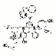 C#C/C=C\C/C=C(\C)C1=CC2=C(CC1C)B1c3ccccc3N(/C3=C/C(C)CC(C)=C=CC3)C3=CC(N(CC4=CCC=CC=C4)C(/C=C\C)=C/C=C)=CC(N2CC2C=C(C)C=C(C)C2)C13C